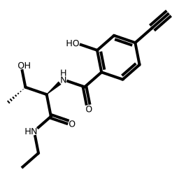 C#Cc1ccc(C(=O)N[C@@H](C(=O)NCC)[C@H](C)O)c(O)c1